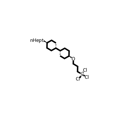 CCCCCCC[C@H]1CC[C@H]([C@H]2CC[C@H](OCCC[Si](Cl)(Cl)Cl)CC2)CC1